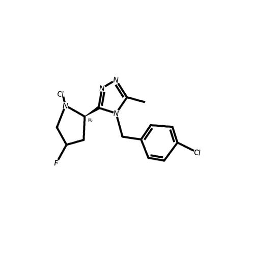 Cc1nnc([C@H]2CC(F)CN2Cl)n1Cc1ccc(Cl)cc1